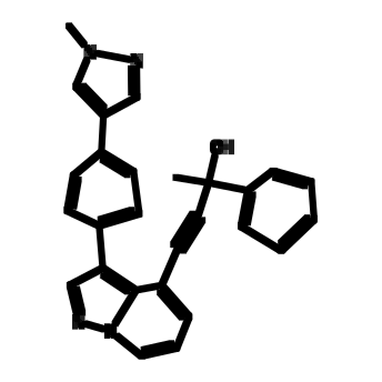 Cn1cc(-c2ccc(-c3cnn4cccc(C#CC(C)(O)c5ccccc5)c34)cc2)cn1